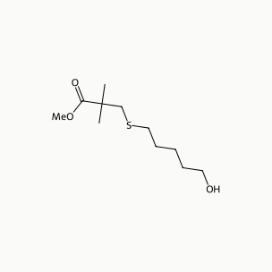 COC(=O)C(C)(C)CSCCCCCO